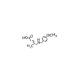 COc1ccc(CNCC(C)SCC(=O)O)cc1